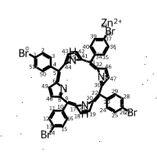 Brc1ccc(-c2c3nc(c(-c4ccc(Br)cc4)c4ccc([nH]4)c(-c4ccc(Br)cc4)c4nc(c(-c5ccc(Br)cc5)c5ccc2[nH]5)C=C4)C=C3)cc1.[Zn+2]